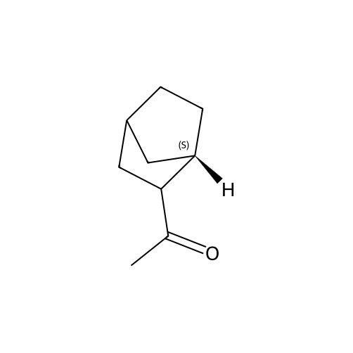 CC(=O)C1CC2CC[C@H]1C2